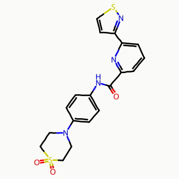 O=C(Nc1ccc(N2CCS(=O)(=O)CC2)cc1)c1cccc(-c2ccsn2)n1